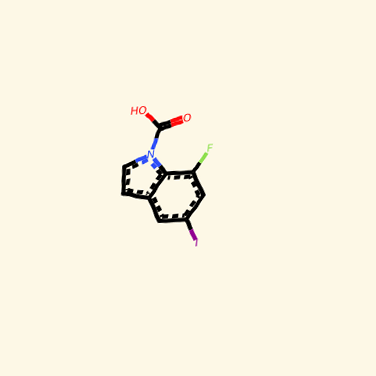 O=C(O)n1ccc2cc(I)cc(F)c21